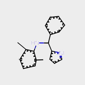 Cc1cccc(C)c1NC(c1ccccc1)c1ccc[nH]1